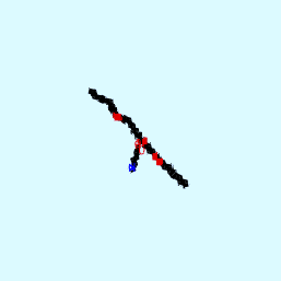 CCCC#CCC#CCC#CCCCCCCCC(CCCCCCCCCCCCCCCCCC)OC(=O)CCCCN(C)C